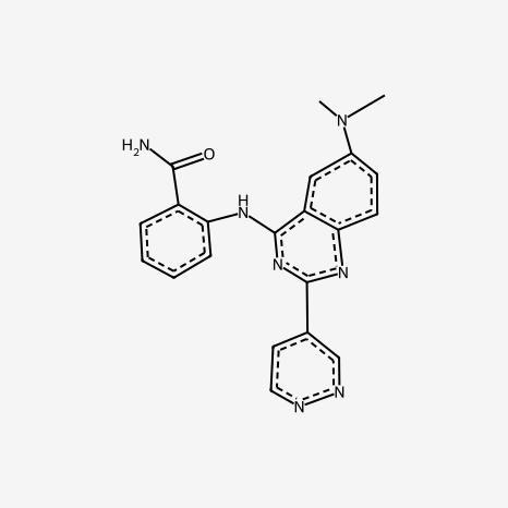 CN(C)c1ccc2nc(-c3ccnnc3)nc(Nc3ccccc3C(N)=O)c2c1